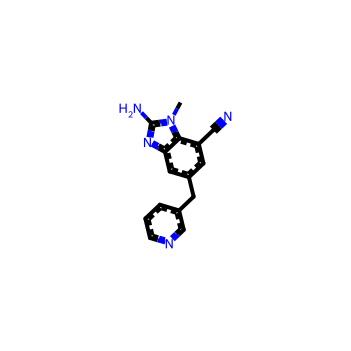 Cn1c(N)nc2cc(Cc3cccnc3)cc(C#N)c21